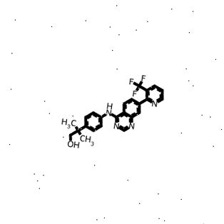 CC(C)(CO)c1ccc(Nc2ncnc3cc(-c4ncccc4C(F)(F)F)ccc23)cc1